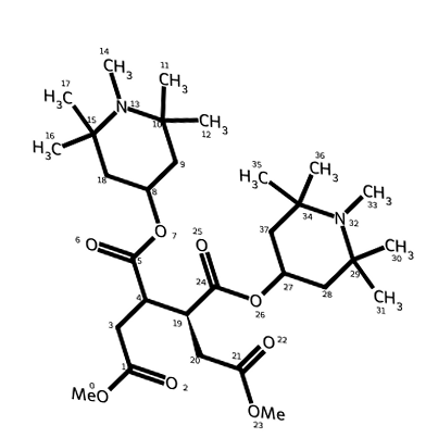 COC(=O)CC(C(=O)OC1CC(C)(C)N(C)C(C)(C)C1)[C@H](CC(=O)OC)C(=O)OC1CC(C)(C)N(C)C(C)(C)C1